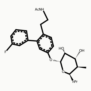 CCC[C@H]1O[C@H](Oc2ccc(CCNC(C)=O)c(-c3cccc(F)c3)c2)[C@H](O)[C@H](O)[C@H]1C